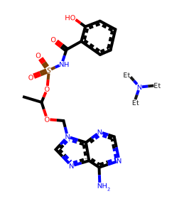 CC(OCn1cnc2c(N)ncnc21)OS(=O)(=O)NC(=O)c1ccccc1O.CCN(CC)CC